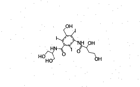 O=C(NC(CO)CO)c1c(I)c(CO)c(I)c(NC(=O)C(O)CCO)c1I